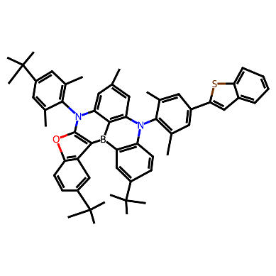 Cc1cc2c3c(c1)N(c1c(C)cc(C(C)(C)C)cc1C)c1oc4ccc(C(C)(C)C)cc4c1B3c1cc(C(C)(C)C)ccc1N2c1c(C)cc(-c2cc3ccccc3s2)cc1C